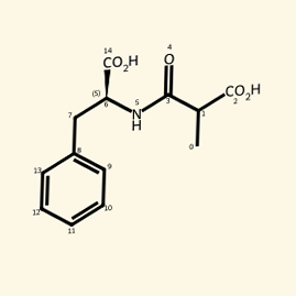 CC(C(=O)O)C(=O)N[C@@H](Cc1ccccc1)C(=O)O